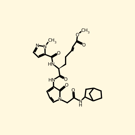 COC(=O)/C=C/CC[C@H](NC(=O)c1ccnn1C)C(=O)Nc1cccn(CC(=O)NC2CC3CCC2C3)c1=O